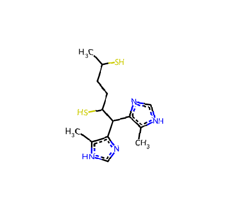 Cc1[nH]cnc1C(c1nc[nH]c1C)C(S)CCC(C)S